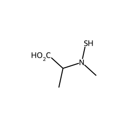 CC(C(=O)O)N(C)S